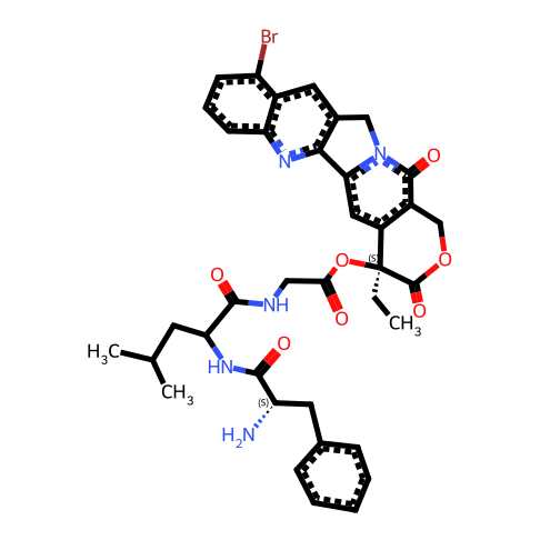 CC[C@@]1(OC(=O)CNC(=O)C(CC(C)C)NC(=O)[C@@H](N)Cc2ccccc2)C(=O)OCc2c1cc1n(c2=O)Cc2cc3c(Br)cccc3nc2-1